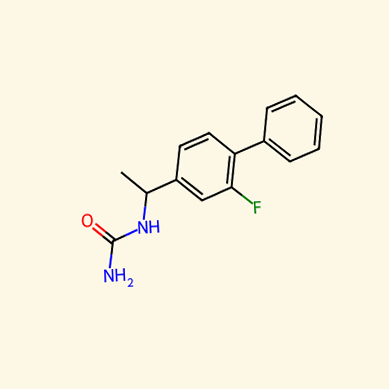 CC(NC(N)=O)c1ccc(-c2ccccc2)c(F)c1